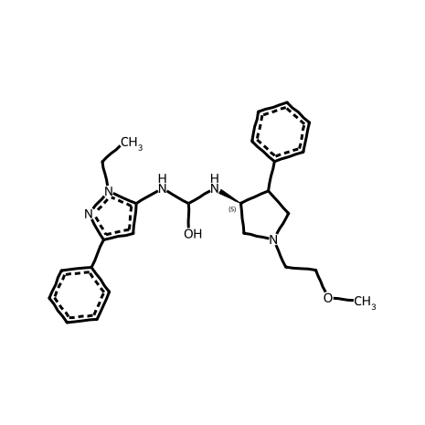 CCn1nc(-c2ccccc2)cc1NC(O)N[C@@H]1CN(CCOC)CC1c1ccccc1